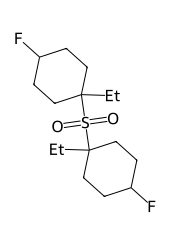 CCC1(S(=O)(=O)C2(CC)CCC(F)CC2)CCC(F)CC1